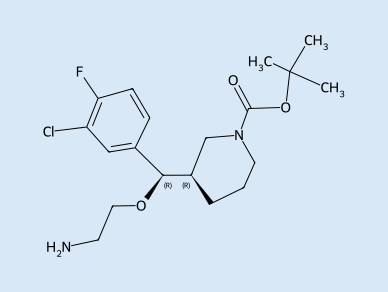 CC(C)(C)OC(=O)N1CCC[C@@H]([C@@H](OCCN)c2ccc(F)c(Cl)c2)C1